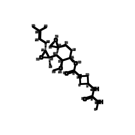 CNC(=O)NC1CN(C(=O)O[C@@H]2CC[C@]3(CO3)[C@@H]([C@@]3(C)O[C@@H]3CC=C(C)C)[C@@H]2OC)C1